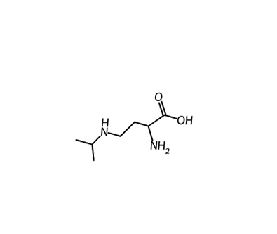 CC(C)NCCC(N)C(=O)O